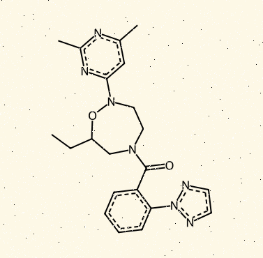 CCC1CN(C(=O)c2ccccc2-n2nccn2)CCN(c2cc(C)nc(C)n2)O1